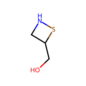 OCC1CNS1